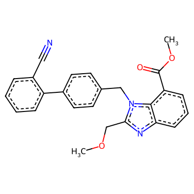 COCc1nc2cccc(C(=O)OC)c2n1Cc1ccc(-c2ccccc2C#N)cc1